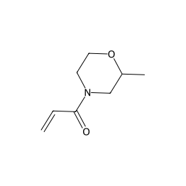 C=CC(=O)N1CCOC(C)C1